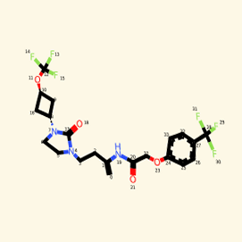 C=C(CCN1CCN([C@H]2C[C@H](OC(F)(F)F)C2)C1=O)NC(=O)COc1ccc(C(F)(F)F)cc1